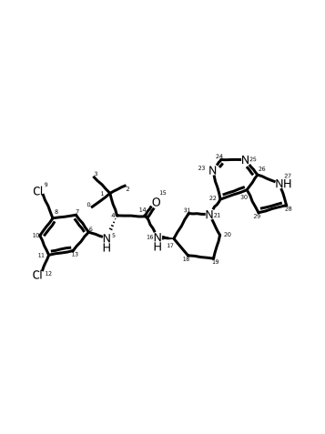 CC(C)(C)[C@@H](Nc1cc(Cl)cc(Cl)c1)C(=O)N[C@@H]1CCCN(c2ncnc3[nH]ccc23)C1